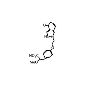 COC(Cc1ccc(OCCN2C=C3C=CCC(=O)C3=CN2)cc1)C(=O)O